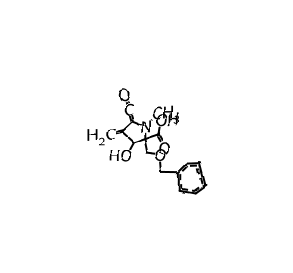 C=C1C(=C=O)N(C)C(COCc2ccccc2)(C(=O)O)C1O